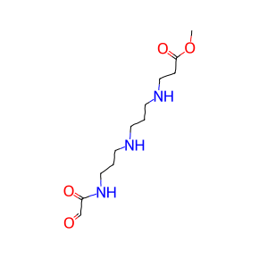 COC(=O)CCNCCCNCCCNC(=O)C=O